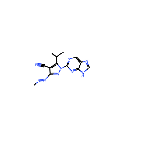 CN=Nc1nn(-c2ncc3nc[nH]c3n2)c(C(C)C)c1C#N